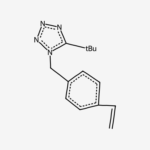 C=Cc1ccc(Cn2nnnc2C(C)(C)C)cc1